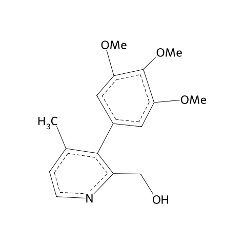 COc1cc(-c2c(C)ccnc2CO)cc(OC)c1OC